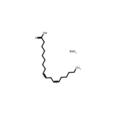 CCCCC/C=C\C/C=C\CCCCCCCC(=O)O.[BaH2]